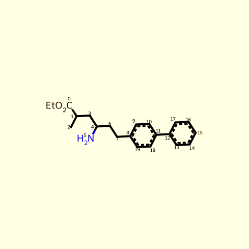 CCOC(=O)C(C)CC(N)CCc1ccc(-c2ccccc2)cc1